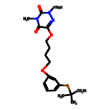 CCCCCCCn1nc(OCCCCOc2cccc(SC(C)(C)C(=O)OCC)c2)c(=O)n(C)c1=O